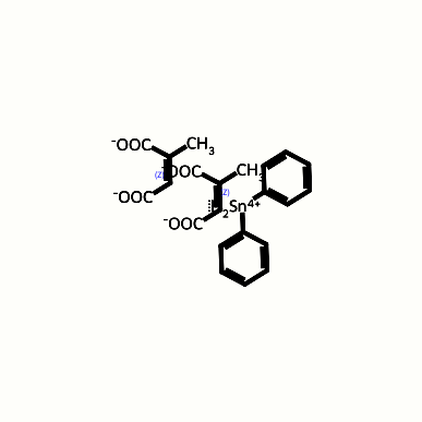 C/C(=C/C(=O)[O-])C(=O)[O-].C/C(=C/C(=O)[O-])C(=O)[O-].c1cc[c]([SnH2+4][c]2ccccc2)cc1